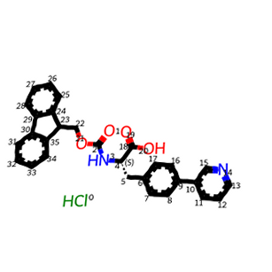 Cl.O=C(N[C@@H](Cc1ccc(-c2cccnc2)cc1)C(=O)O)OCC1c2ccccc2-c2ccccc21